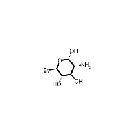 CC[C@H]1O[C@H](O)[C@H](N)[C@@H](O)[C@@H]1O